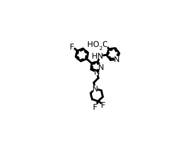 O=C(O)c1ccncc1Nc1nn(CCN2CCC(F)(F)CC2)cc1-c1ccc(F)cc1